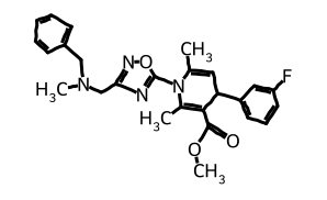 COC(=O)C1=C(C)N(c2nc(CN(C)Cc3ccccc3)no2)C(C)=CC1c1cccc(F)c1